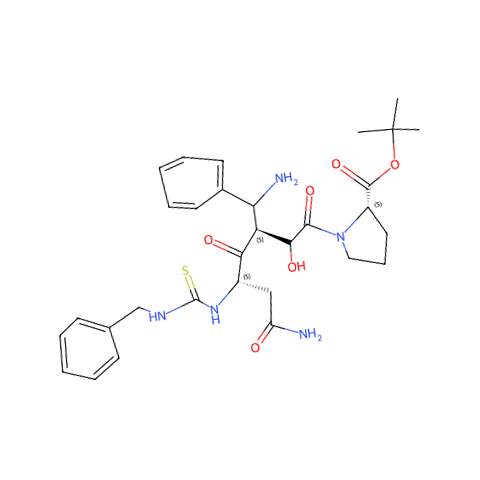 CC(C)(C)OC(=O)[C@@H]1CCCN1C(=O)C(O)[C@@H](C(=O)[C@H](CC(N)=O)NC(=S)NCc1ccccc1)C(N)c1ccccc1